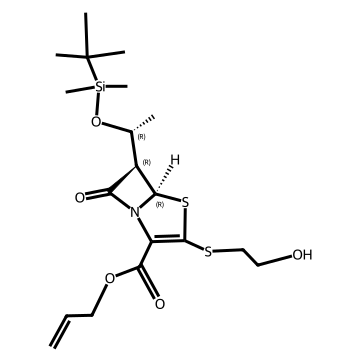 C=CCOC(=O)C1=C(SCCO)S[C@@H]2[C@H]([C@@H](C)O[Si](C)(C)C(C)(C)C)C(=O)N12